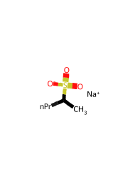 CCCC(C)S(=O)(=O)[O-].[Na+]